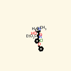 CCOC(=O)c1c(-c2cccc(OCc3ccccc3)c2Cl)noc1/C(=C/N(C)C)C(O)C(F)(F)F